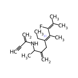 C#CC(=C)NC(C)C(=C)C/C(CC)=C(\C)C(F)=C(C)C